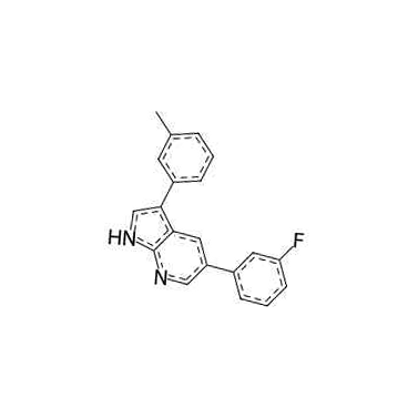 Cc1cccc(-c2c[nH]c3ncc(-c4cccc(F)c4)cc23)c1